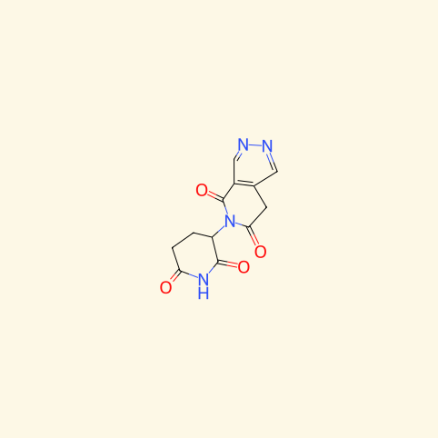 O=C1CCC(N2C(=O)Cc3cnncc3C2=O)C(=O)N1